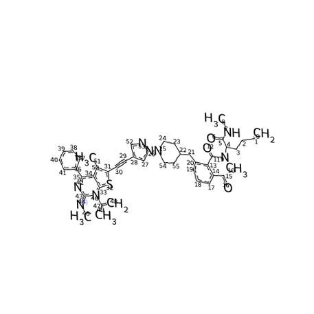 C=CCCC(C(=O)NC)N(C)C(=O)c1c(C=O)cccc1CC1CCN(n2cc(C#Cc3sc4c(c(-c5ccccc5)n/c(=N/C)n4C(=C)C)c3C)cn2)CC1